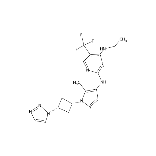 CCNc1nc(Nc2cnn([C@H]3C[C@@H](n4ccnn4)C3)c2C)ncc1C(F)(F)F